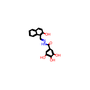 O=C(N/N=C/c1c(O)ccc2ccccc12)c1cc(O)c(O)c(O)c1